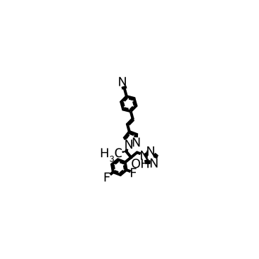 C[C@@H](n1cc(/C=C/c2ccc(C#N)cc2)cn1)[C@](O)(Cn1cncn1)c1ccc(F)cc1F